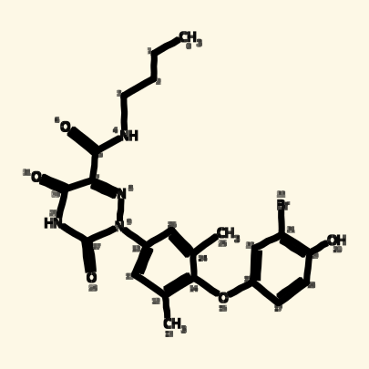 CCCCNC(=O)c1nn(-c2cc(C)c(Oc3ccc(O)c(Br)c3)c(C)c2)c(=O)[nH]c1=O